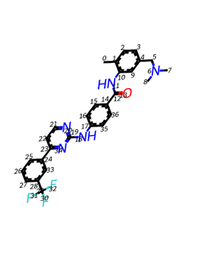 Cc1ccc(CN(C)C)cc1NC(=O)c1ccc(Nc2nccc(-c3cccc(C(F)(F)F)c3)n2)cc1